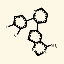 Nc1ncnc2ccc(-c3cccnc3-c3ccc(F)c(Cl)c3)cc12